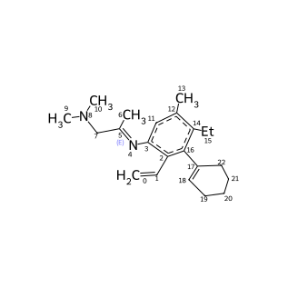 C=Cc1c(/N=C(\C)CN(C)C)cc(C)c(CC)c1C1=CCCCC1